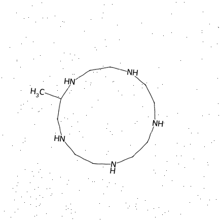 CC1CNCCNCCNCCNCCN1